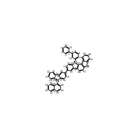 c1ccc(-c2cccc(-n3c4ccc(-c5ccc6c(c5)c5ccccc5n6-c5cccc6ccccc56)cc4c4ccc5sc6ccccc6c5c43)c2)cc1